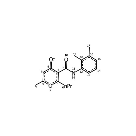 CCCc1oc(C)cc(=O)c1C(=O)Nc1cccc(C)c1C